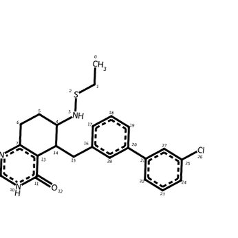 CCSNC1CCc2nc[nH]c(=O)c2C1Cc1cccc(-c2cccc(Cl)c2)c1